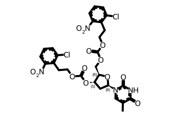 Cc1cn([C@H]2C[C@H](OC(=O)OCCc3c(Cl)cccc3[N+](=O)[O-])[C@@H](COC(=O)OCCc3c(Cl)cccc3[N+](=O)[O-])O2)c(=O)[nH]c1=O